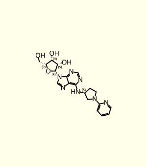 OC[C@H]1O[C@@H](n2cnc3c(N[C@H]4CCN(c5ccccn5)C4)ncnc32)[C@@H](O)[C@H]1O